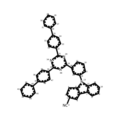 N#Cc1ccc2c(c1)c1ccccc1n2-c1cccc(-c2nc(-c3ccc(-c4ccccc4)cc3)nc(-c3ccc(-c4ccccc4)cc3)n2)c1